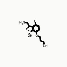 NCC1OB(O)c2c(OCCCO)ccc(F)c21